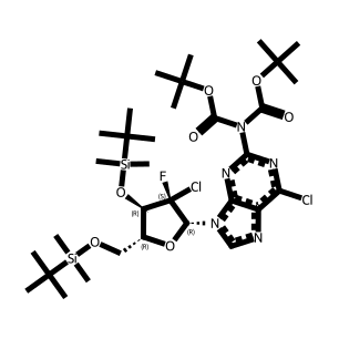 CC(C)(C)OC(=O)N(C(=O)OC(C)(C)C)c1nc(Cl)c2ncn([C@@H]3O[C@H](CO[Si](C)(C)C(C)(C)C)[C@@H](O[Si](C)(C)C(C)(C)C)[C@]3(F)Cl)c2n1